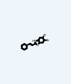 Brc1cc2nc(/C=C/c3ccccc3)[nH]c2cc1Br